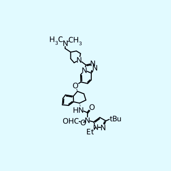 CCn1nc(C(C)(C)C)cc1N(OC=O)C(=O)N[C@H]1CC[C@@H](Oc2ccc3nnc(N4CCC(CN(C)C)CC4)n3c2)c2ccccc21